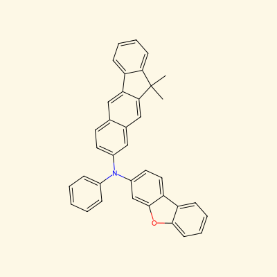 CC1(C)c2ccccc2-c2cc3ccc(N(c4ccccc4)c4ccc5c(c4)oc4ccccc45)cc3cc21